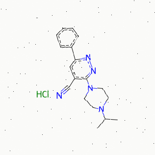 CC(C)N1CCN(c2nnc(-c3ccccc3)cc2C#N)CC1.Cl